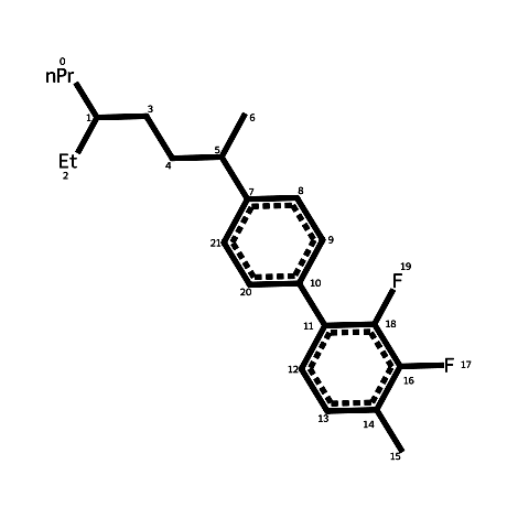 CCCC(CC)CCC(C)c1ccc(-c2ccc(C)c(F)c2F)cc1